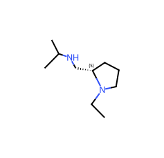 CCN1CCC[C@H]1CNC(C)C